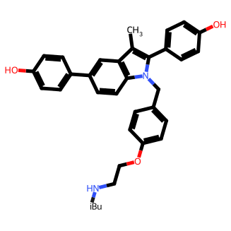 CCC(C)NCCOc1ccc(Cn2c(-c3ccc(O)cc3)c(C)c3cc(-c4ccc(O)cc4)ccc32)cc1